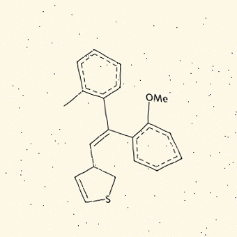 COc1ccccc1C(=CC1C=CSC1)c1ccccc1C